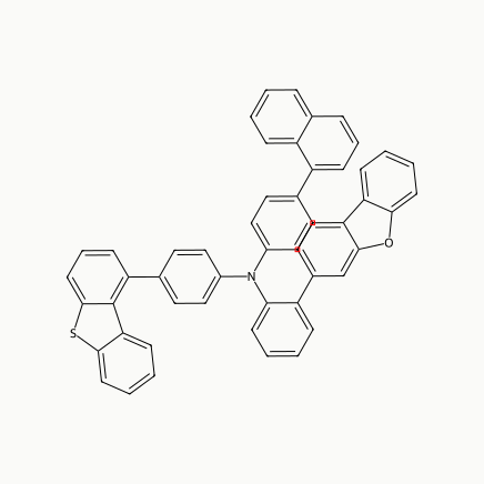 c1ccc(N(c2ccc(-c3cccc4ccccc34)cc2)c2ccc(-c3cccc4sc5ccccc5c34)cc2)c(-c2ccc3c(c2)oc2ccccc23)c1